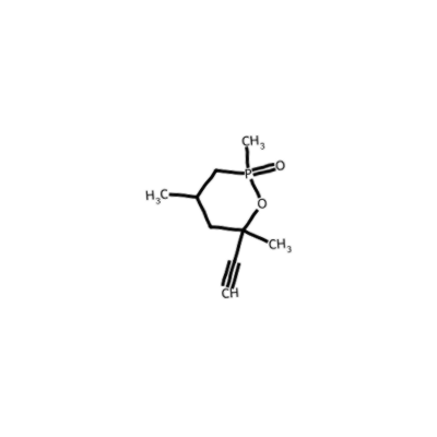 C#CC1(C)CC(C)CP(C)(=O)O1